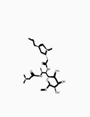 CCC[C@@H]1C[C@@H](CC(=O)N[C@H]([C@H](C)NC(=O)CN(C)C)[C@H]2OC(SC)[C@H](O)C(O)C2O)N(C)C1